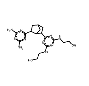 Nc1nc(N)nc(C2CC3CC(c4nc(NCCO)nc(NCCO)n4)C2C3)n1